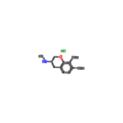 CCCNC1COc2c(ccc(OC)c2OC)C1.Cl